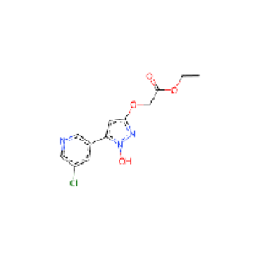 CCOC(=O)COc1cc(-c2cncc(Cl)c2)n(O)n1